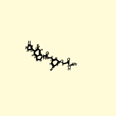 CC(C)NC(=O)COc1cc(F)cc(CNC(=O)N2CCc3cc(-c4cn[nH]c4)c(F)cc32)c1